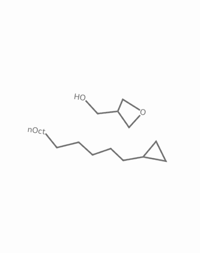 CCCCCCCCCCCCCC1CC1.OCC1COC1